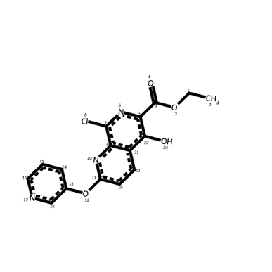 CCOC(=O)c1nc(Cl)c2nc(Oc3cccnc3)ccc2c1O